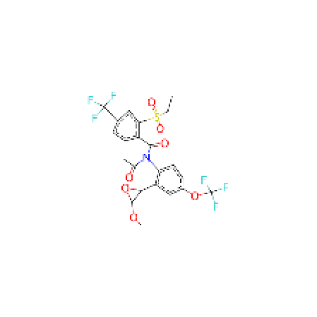 CCS(=O)(=O)c1cc(C(F)(F)F)ccc1C(=O)N(C(C)=O)c1ccc(OC(F)(F)F)cc1C1OC1OC